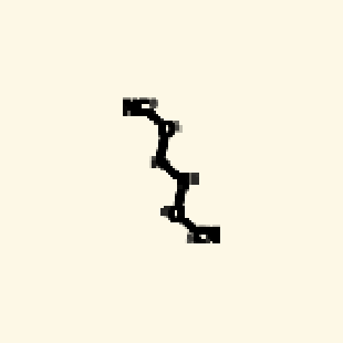 N#COCSOC#N